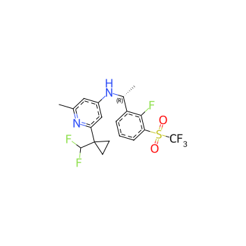 Cc1cc(N[C@H](C)c2cccc(S(=O)(=O)C(F)(F)F)c2F)cc(C2(C(F)F)CC2)n1